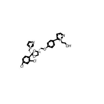 OCCn1nccc1-c1ccc(OC[C@@H]2CO[C@@](Cn3ccnc3)(c3ccc(Cl)cc3Cl)O2)cc1